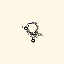 CN1CN2CCCCCCC/C=C/CCOc3cc(F)ccc3CNC(=O)c3cn2c(c(OCc2ccccc2)c3=O)C1=O